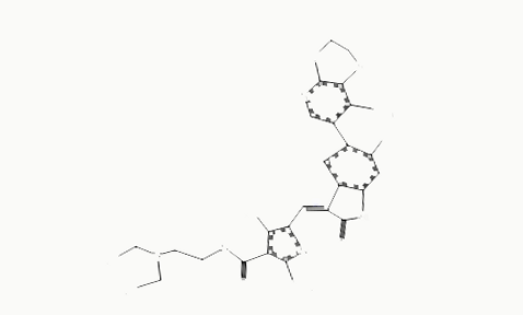 CCN(CC)CCNC(=O)c1c(C)[nH]c(/C=C2\C(=O)Nc3cc(F)c(-c4cnc5c(c4C)NCCO5)cc32)c1C